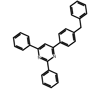 c1ccc(Cc2ccc(-c3cc(-c4ccccc4)nc(-c4ccccc4)n3)cc2)cc1